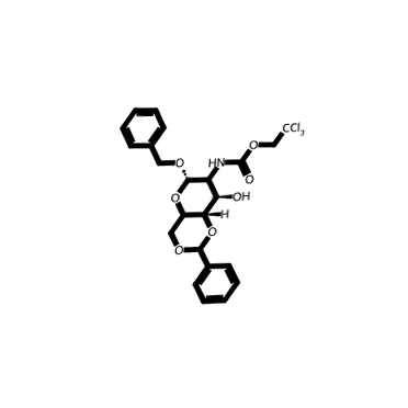 O=C(NC1[C@@H](OCc2ccccc2)OC2COC(c3ccccc3)O[C@H]2[C@@H]1O)OCC(Cl)(Cl)Cl